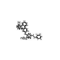 CCCCn1nc(CCc2ccccc2)nc1Cc1ccc(-c2ccccc2-c2nnn[nH]2)nc1